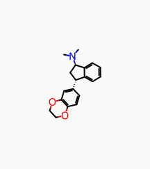 CN(C)[C@@H]1C[C@@H](c2ccc3c(c2)OCCO3)c2ccccc21